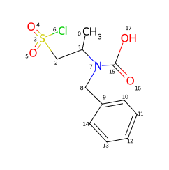 CC(CS(=O)(=O)Cl)N(Cc1ccccc1)C(=O)O